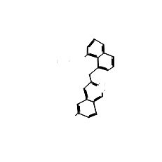 CCOC(=O)c1cccc2cccc(Cc3cc4cc(C(C)C)ccc4cn3)c12